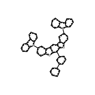 c1ccc(-c2cccc(-c3c4oc5ccc(-n6c7ccccc7c7ccccc76)cc5c4cc4c3oc3ccc(-n5c6ccccc6c6ccccc65)cc34)c2)cc1